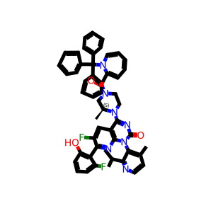 Cc1ccnc(C(C)C)c1-n1c(=O)nc(N2CCN(C(=O)C3=CC=CC=CN3C(c3ccccc3)(c3ccccc3)c3ccccc3)C[C@@H]2C)c2cc(F)c(-c3c(O)cccc3F)nc21